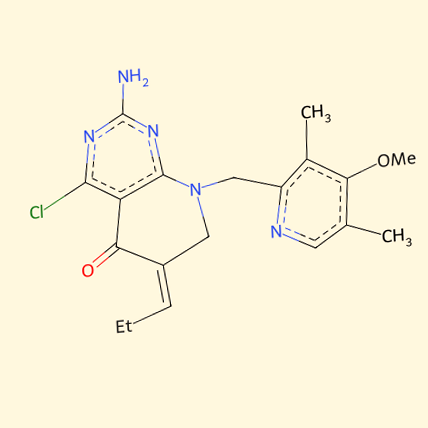 CCC=C1CN(Cc2ncc(C)c(OC)c2C)c2nc(N)nc(Cl)c2C1=O